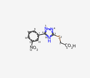 O=C(O)CSc1nnc(-c2cccc([N+](=O)[O-])c2)[nH]1